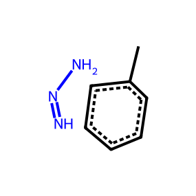 Cc1ccccc1.N=NN